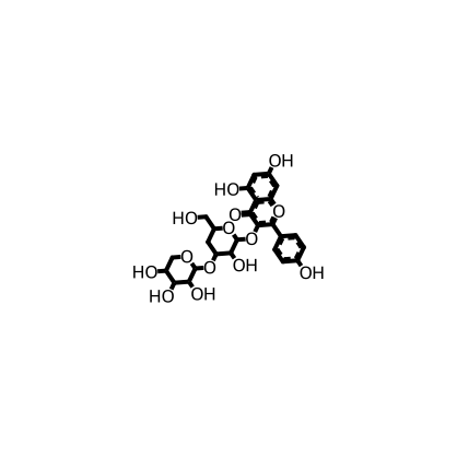 O=c1c(OC2OC(CO)CC(OC3OCC(O)C(O)C3O)C2O)c(-c2ccc(O)cc2)oc2cc(O)cc(O)c12